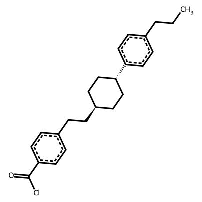 CCCc1ccc([C@H]2CC[C@H](CCc3ccc(C(=O)Cl)cc3)CC2)cc1